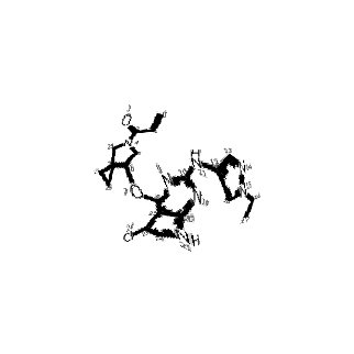 C=CC(=O)N1CC(Oc2nc(Nc3cnn(CC)c3)nc3[nH]cc(Cl)c23)C2(CC2)C1